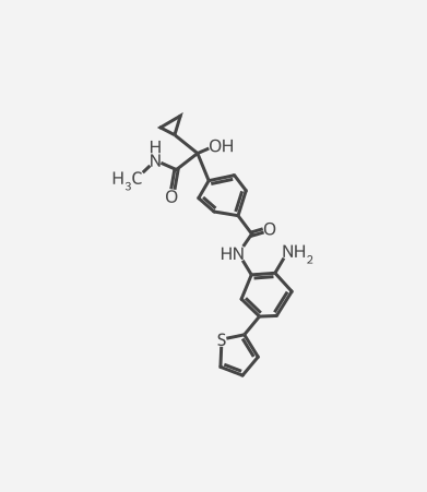 CNC(=O)C(O)(c1ccc(C(=O)Nc2cc(-c3cccs3)ccc2N)cc1)C1CC1